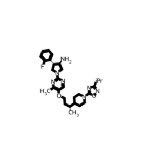 Cc1nc(N2C[C@H](c3ccccc3F)[C@@H](N)C2)ncc1OCC[C@@H](C)C1CCN(c2nc(C(C)C)no2)CC1